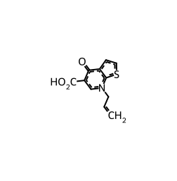 C=CCn1cc(C(=O)O)c(=O)c2ccsc21